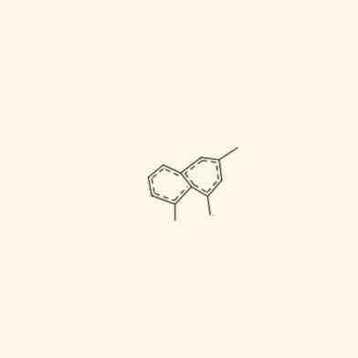 [CH2]c1cc(C)cc2cccc(C)c12